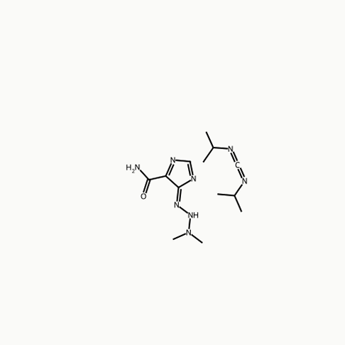 CC(C)N=C=NC(C)C.CN(C)N/N=C1\N=CN=C1C(N)=O